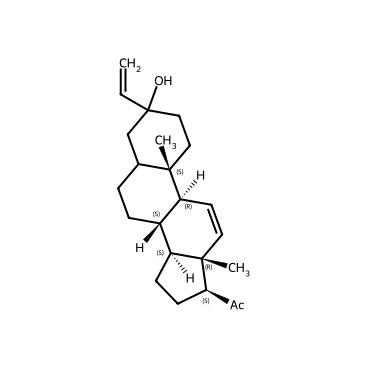 C=CC1(O)CC[C@@]2(C)C(CC[C@H]3[C@@H]4CC[C@H](C(C)=O)[C@@]4(C)C=C[C@@H]32)C1